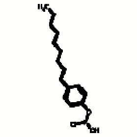 CCCCCCCCCc1ccc(OP(O)Cl)cc1